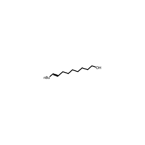 CCCC/C=C/CCCCCCCO